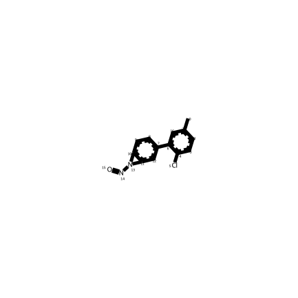 Cc1ccc(Cl)c(-c2ccc3c(c2)N3N=O)c1